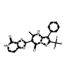 Cc1[nH]c2c(-c3ccccc3)c(C(F)(F)F)nn2c(=O)c1-c1nc2c(=O)[nH]ccc2o1